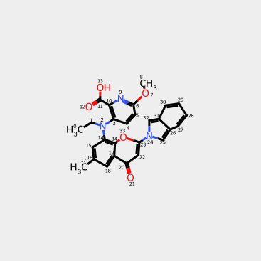 CCN(c1ccc(OC)nc1C(=O)O)c1cc(C)cc2c(=O)cc(-n3cc4ccccc4c3)oc12